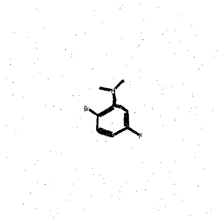 CN(C)c1cc(F)ccc1Br